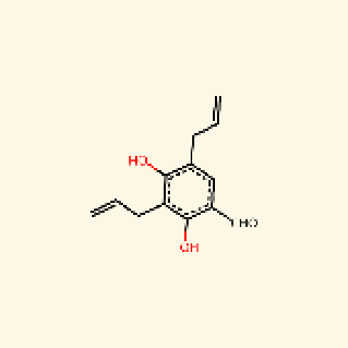 C=CCc1cc(C=O)c(O)c(CC=C)c1O